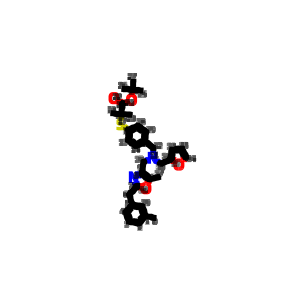 Cc1cccc(Cc2nc(CN(Cc3ccc(SC(C)(C)C(=O)OC(C)(C)C)cc3)Cc3ccco3)c(C)o2)c1